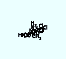 Cn1c(N2CC3CNCC32)nc(N)c(Sc2cccc(Cl)c2Cl)c1=O